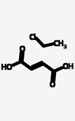 CCCl.O=C(O)C=CC(=O)O